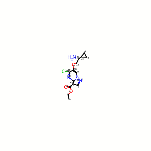 CCOC(=O)c1cnn2cc(OC[C@H](N)C3CC3)c(Cl)nc12